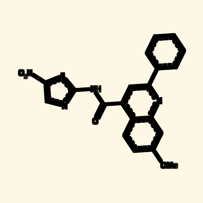 COc1ccc2c(C(=O)Nc3ncc([N+](=O)[O-])s3)cc(-c3ccccc3)nc2c1